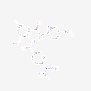 Bc1ccc(NC(=O)c2cc(C)cc(OC)c2NC(=O)c2ccc(C(=N)NC)cc2)nc1